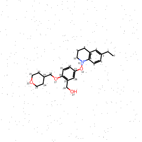 CCc1ccc2c(c1)CCCN2Oc1ccc(OCC2CCOCC2)c(CO)c1